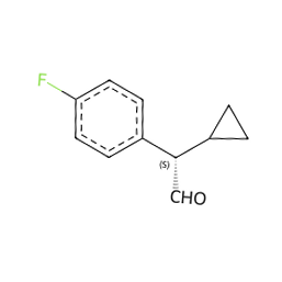 O=C[C@H](c1ccc(F)cc1)C1CC1